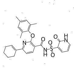 Cc1cc(C)c(Oc2nc(C3=CCCCC3)ccc2C(=O)NS(=O)(=O)c2ccc[nH]c2=O)c(C)c1